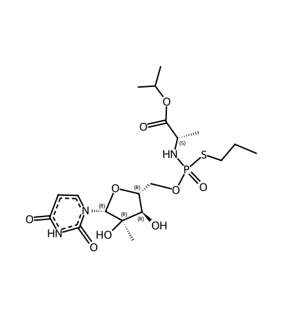 CCCSP(=O)(N[C@@H](C)C(=O)OC(C)C)OC[C@H]1O[C@@H](n2ccc(=O)[nH]c2=O)[C@](C)(O)[C@@H]1O